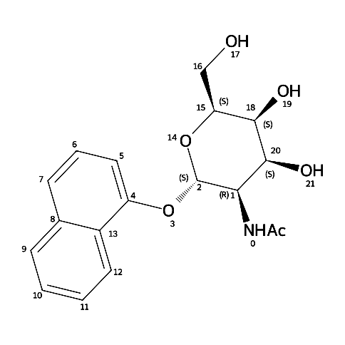 CC(=O)N[C@H]1[C@H](Oc2cccc3ccccc23)O[C@@H](CO)[C@@H](O)[C@H]1O